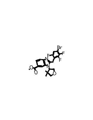 COC(=O)c1ccc2nc(Cc3c(F)cc(Br)c(F)c3F)n(C3COCC3(C)C)c2c1